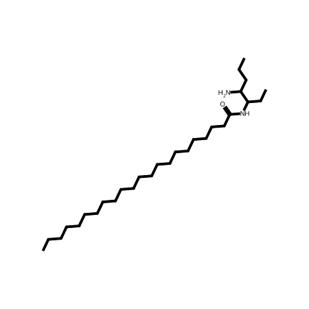 CCCCCCCCCCCCCCCCCCCCCC(=O)NC(CC)C(N)CCC